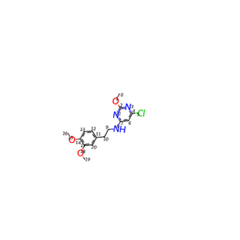 COc1nc(Cl)cc(NCCc2ccc(OC)c(OC)c2)n1